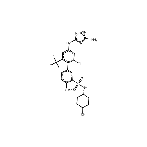 COc1ccc(-c2c(Cl)cc(Nc3n[nH]c(N)n3)cc2C(F)(F)I)cc1S(=O)(=O)N[C@H]1CC[C@H](O)CC1